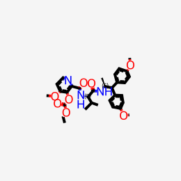 CCOC(=O)Oc1c(OC)ccnc1C(=O)N[C@H](C(=O)N[C@@H](C)C(c1ccc(OC)cc1)c1ccc(OC)cc1)C(C)C